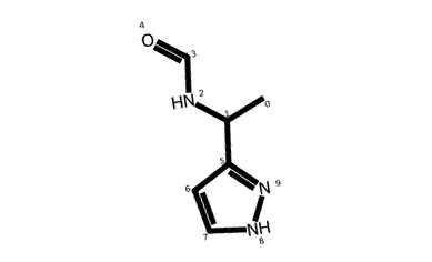 CC(N[C]=O)c1cc[nH]n1